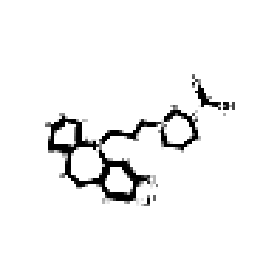 Cl.O=C(O)[C@@H]1CCCN(CCCN2c3ccccc3CCc3ccc(Cl)cc32)C1